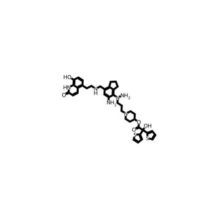 Nc1cc(CNCCc2ccc(O)c3[nH]c(=O)ccc23)c2c(c1N(N)CCCN1CCC(OC(=O)C(O)(c3cccs3)c3cccs3)CC1)CCC2